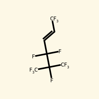 FC(F)(F)/C=C/C(F)(F)C(F)(C(F)(F)F)C(F)(F)F